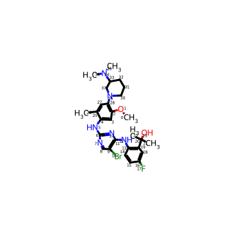 COc1cc(Nc2ncc(Br)c(Nc3ccc(F)cc3C(C)(C)O)n2)c(C)cc1N1CCCC(N(C)C)C1